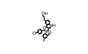 O=C(c1c[nH]c2ccc(CCCO)cc2c1=O)N(Cc1ccc(Cl)cc1)c1ccc(F)cc1F